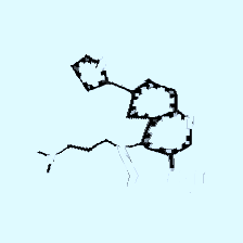 CCOC(=O)c1cnc2ccc(-c3cccs3)cc2c1NCCCN(C)C